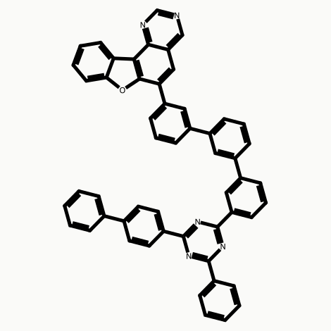 c1ccc(-c2ccc(-c3nc(-c4ccccc4)nc(-c4cccc(-c5cccc(-c6cccc(-c7cc8cncnc8c8c7oc7ccccc78)c6)c5)c4)n3)cc2)cc1